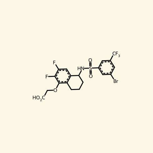 O=C(O)COc1c(F)c(F)cc2c1CCCC2NS(=O)(=O)c1cc(Br)cc(C(F)(F)F)c1